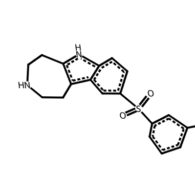 O=S(=O)(c1cccc(F)c1)c1ccc2[nH]c3c(c2c1)CCNCC3